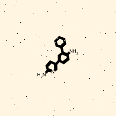 Nc1ccc(-c2ccc(N)c(C3=CCCCC3)c2)cn1